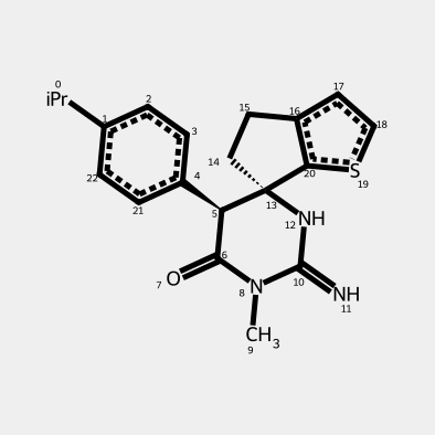 CC(C)c1ccc([C@@H]2C(=O)N(C)C(=N)N[C@@]23CCc2ccsc23)cc1